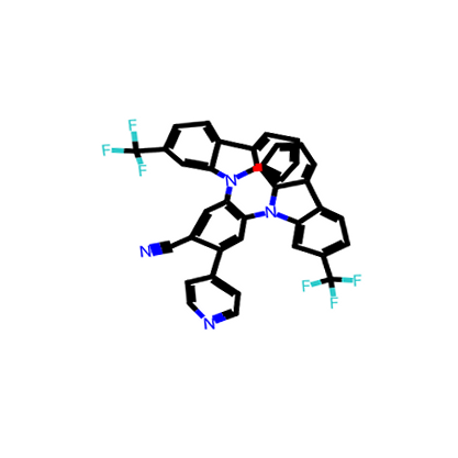 N#Cc1cc(-n2c3ccccc3c3ccc(C(F)(F)F)cc32)c(-n2c3ccccc3c3ccc(C(F)(F)F)cc32)cc1-c1ccncc1